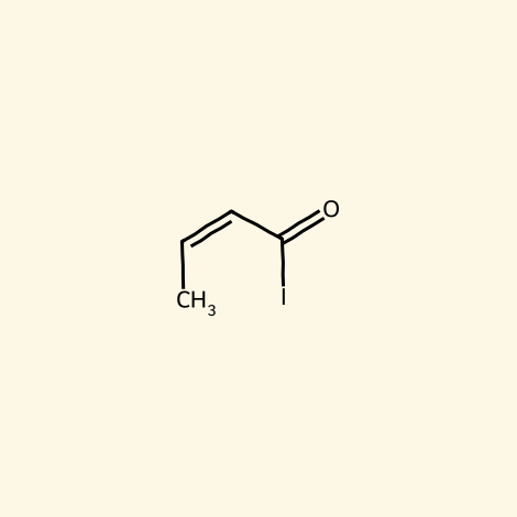 C/C=C\C(=O)I